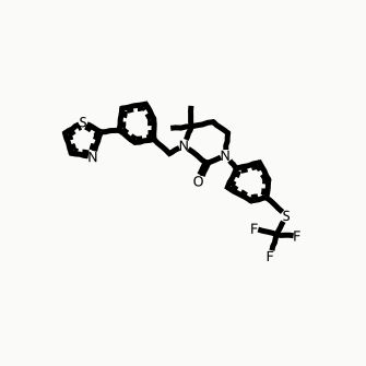 CC1(C)CCN(c2ccc(SC(F)(F)F)cc2)C(=O)N1Cc1cccc(-c2nccs2)c1